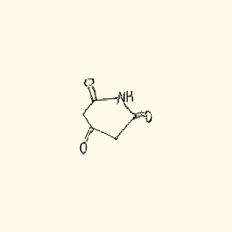 O=C1CC(=O)NC(=O)C1